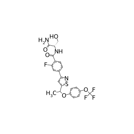 CC(Oc1ccc(OC(F)(F)F)cc1)c1cc(-c2ccc(C(=O)N[C@@H](CO)C(N)=O)c(F)c2)ns1